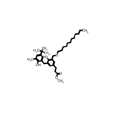 CCCCCCCCCCCCSCc1cc(CCC(=O)OC)cc(Cc2cc(C(C)(C)C)cc(C)c2O)c1O